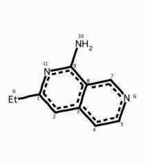 CCc1cc2ccncc2c(N)n1